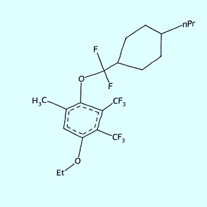 CCCC1CCC(C(F)(F)Oc2c(C)cc(OCC)c(C(F)(F)F)c2C(F)(F)F)CC1